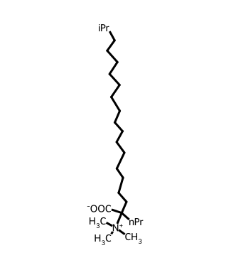 CCCC(CCCCCCCCCCCCCCCC(C)C)(C(=O)[O-])[N+](C)(C)C